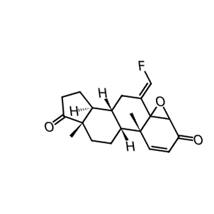 C[C@]12CC[C@@H]3[C@@H](CC(=CF)C45OC4C(=O)C=C[C@]35C)[C@@H]1CCC2=O